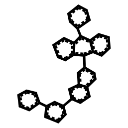 c1ccc(-c2cccc(-c3ccc4ccc(-c5c6ccccc6c(-c6ccccc6)c6ccccc56)cc4c3)c2)cc1